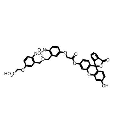 O=C(O)COc1ccc([N+](=O)[O-])c(COCc2cc(OCC(=O)Oc3ccc4c(c3)Oc3cc(O)ccc3C43OC(=O)c4ccccc43)ccc2[N+](=O)[O-])c1